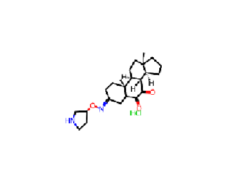 C[C@@]12CCC[C@H]1[C@@H]1C(=O)C(=O)C3CC(=NO[C@H]4CCNC4)CC[C@]3(C)[C@H]1CC2.Cl